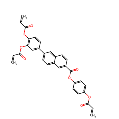 C=CC(=O)Oc1ccc(OC(=O)c2ccc3cc(-c4ccc(OC(=O)C=C)c(OC(=O)C=C)c4)ccc3c2)cc1